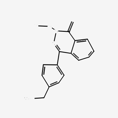 CCOn1nc(-c2ccc(COC)cc2)c2ccccc2c1=O